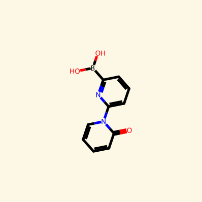 O=c1ccccn1-c1cccc(B(O)O)n1